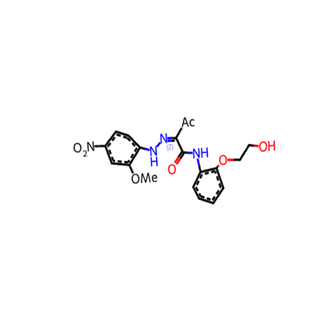 COc1cc([N+](=O)[O-])ccc1N/N=C(/C(C)=O)C(=O)Nc1ccccc1OCCO